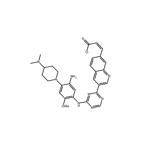 COc1cc(N2CCC(N(C)C)CC2)c(N)cc1Nc1ncnc(-c2cnc3cc(/C=C\C(=O)Cl)ccc3c2)n1